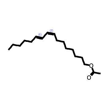 CCCCC/C=C/C=C\CCCCCCCOC(C)=O